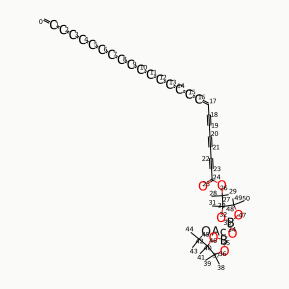 C=C=C=C=C=C=C=C=C=C=C=C=C=C=C=C=C=CC#CC#CC#CC(=O)OC(C)(C)C1(C)OB(OB2OC(C)(C)C(C)(C(C)(C)OC(C)=O)O2)OC1(C)C